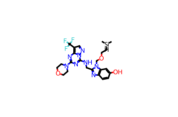 C[SiH](C)CCOCn1c(CNc2nc(N3CCOCC3)nc3c(C(F)(F)F)cnn23)nc2ccc(O)cc21